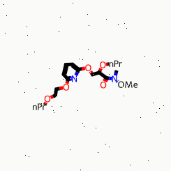 CCCOCCOc1cccc(OCC(OCCC)C(=O)N(C)OC)n1